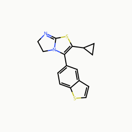 c1cc2cc(C3=C(C4CC4)SC4=NCCN43)ccc2s1